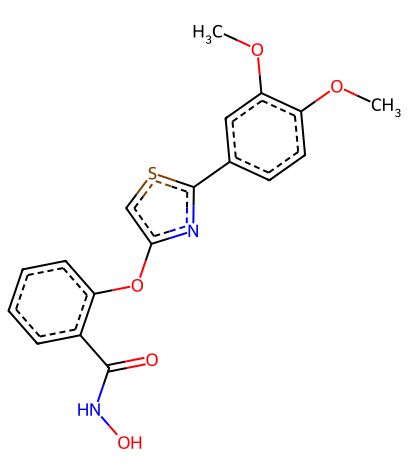 COc1ccc(-c2nc(Oc3ccccc3C(=O)NO)cs2)cc1OC